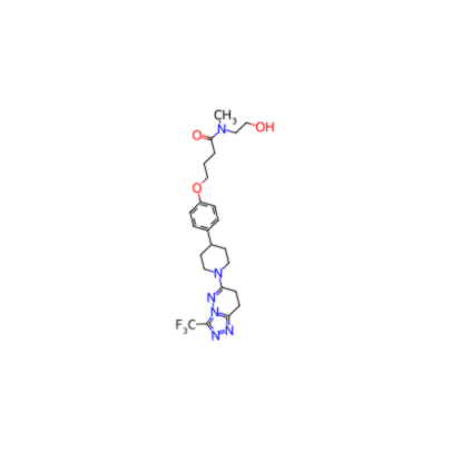 CN(CCO)C(=O)CCCOc1ccc(C2CCN(C3=Nn4c(nnc4C(F)(F)F)CC3)CC2)cc1